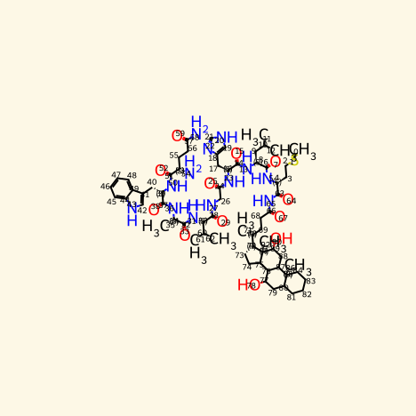 CSCC[C@H](NC(=O)[C@H](CC(C)C)NC(=O)[C@H](Cc1c[nH]cn1)NC(=O)CNC(=O)[C@@H](NC(=O)[C@H](C)NC(=O)[C@H](Cc1c[nH]c2ccccc12)NC(=O)[C@@H](N)CCC(N)=O)C(C)C)C(=O)NC(=O)CC[C@@H](C)[C@H]1CCC2C3C(O)CC4CCCC[C@]4(C)C3CC(O)[C@@]21C